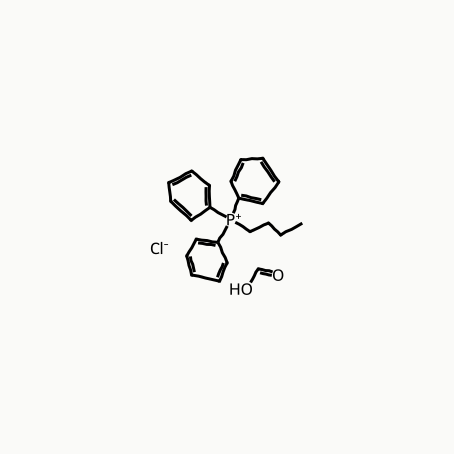 CCCC[P+](c1ccccc1)(c1ccccc1)c1ccccc1.O=CO.[Cl-]